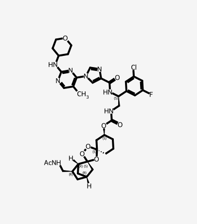 CC(=O)NC[C@@H]1C[C@@H]2C[C@H]1[C@]1(C2)OO[C@]2(CCC[C@H](OC(=O)NC[C@@H](NC(=O)c3cn(-c4nc(NC5CCOCC5)ncc4C)cn3)c3cc(F)cc(Cl)c3)C2)O1